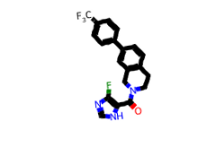 O=C(c1[nH]cnc1F)N1CCc2ccc(-c3ccc(C(F)(F)F)cc3)cc2C1